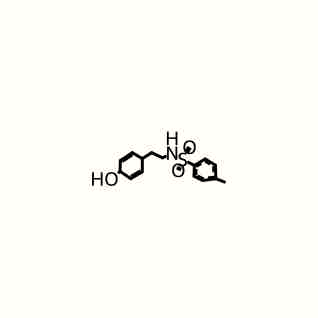 Cc1ccc(S(=O)(=O)NCCC2C=CC(O)C=C2)cc1